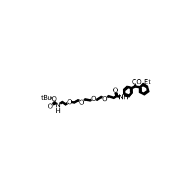 CCOC(=O)C(c1ccccc1)c1ccc(NC(=O)CCOCCOCCOCCOCCNC(=O)OC(C)(C)C)cc1